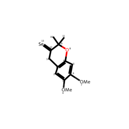 COc1cc2c(cc1OC)OC(C)(C)C(=[Se])C2